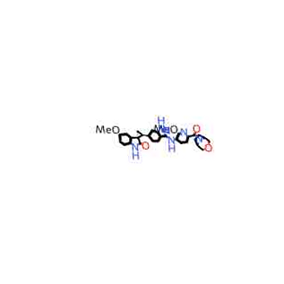 COc1ccc2c(c1)[C@]1(C[C@H]1c1ccc3c(Nc4ccc(C(=O)N5C6CCC5COC6)nc4OC)n[nH]c3c1)C(=O)N2